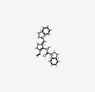 C=CC1=C(N(C)C(=O)N2CCc3ccccc32)/C(=C/N2CCc3ccccc32)CC1